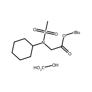 CC(C)(C)OC(=O)CN(C1CCCCC1)S(C)(=O)=O.O=C(O)O